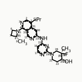 CC(C)c1cnc(N2CC[C@H]2C)c2cnc(Nc3ccnc(N4CC[C@H](O)[C@](C)(F)C4)n3)cc12